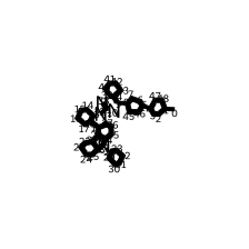 Cc1ccc(-c2ccc(-c3nc(-n4c5ccccc5c5c6c7ccccc7n(-c7ccccc7)c6ccc54)nc4ccccc34)cc2)cc1